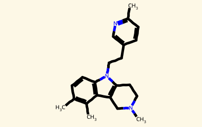 Cc1ccc(CCn2c3c(c4c(C)c(C)ccc42)CN(C)CC3)cn1